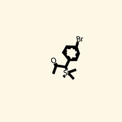 CC(=O)C(c1ccc(Br)cc1)[Si](C)(C)C